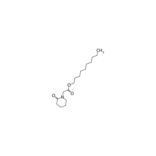 CCCCCCCCCCOC(=O)CN1CCCCC1=O